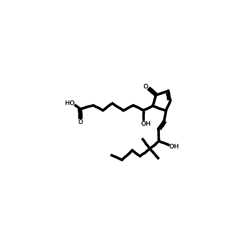 CCCCC(C)(C)C(O)/C=C/C1C=CC(=O)C1C(O)CCCCCC(=O)O